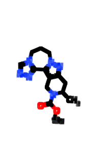 CC1Cc2nn3c(c2CN1C(=O)OC(C)(C)C)-c1nncn1CCC3